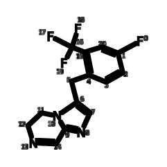 Fc1ccc(Cc2cnc3n2CCN=C3)c(C(F)(F)F)c1